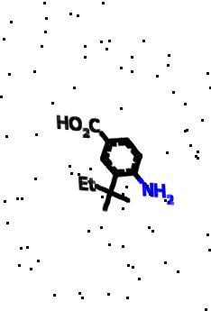 CCC(C)(C)c1cc(C(=O)O)ccc1N